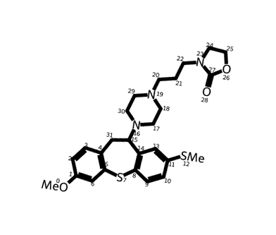 COc1ccc2c(c1)Sc1ccc(SC)cc1C(N1CCN(CCCN3CCOC3=O)CC1)C2